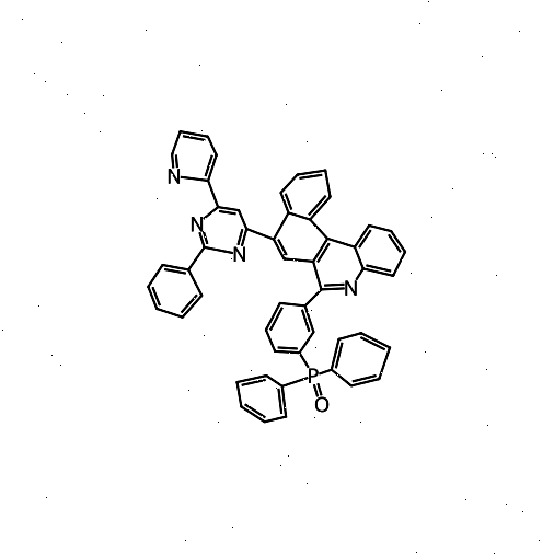 O=P(c1ccccc1)(c1ccccc1)c1cccc(-c2nc3ccccc3c3c2cc(-c2cc(-c4ccccn4)nc(-c4ccccc4)n2)c2ccccc23)c1